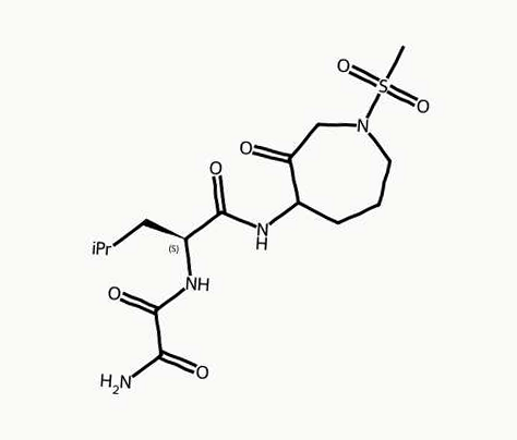 CC(C)C[C@H](NC(=O)C(N)=O)C(=O)NC1CCCN(S(C)(=O)=O)CC1=O